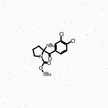 CCCCC1(C(=O)c2ccc(Cl)c(Cl)c2)CCCN1C(=O)OC(C)(C)C